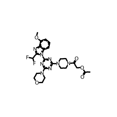 COc1cccc2c1nc(C(F)F)n2-c1nc(N2CCOCC2)nc(N2CCN(C(=O)COC(C)=O)CC2)n1